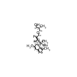 CC(=Cc1csc(C)n1)[C@H](CC=C(F)COC[C@@H](C)CO)O[Si](C)(C)C(C)(C)C